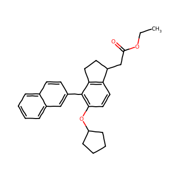 CCOC(=O)CC1CCc2c1ccc(OC1CCCC1)c2-c1ccc2ccccc2c1